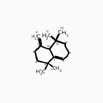 C=C1CCC(C)(C)C2=CCCC(C)(C)C12